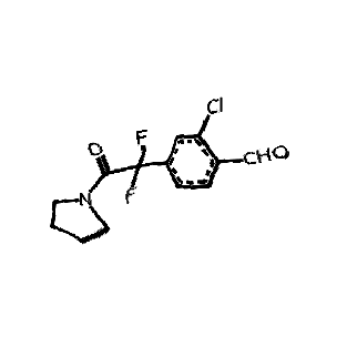 O=Cc1ccc(C(F)(F)C(=O)N2CCCC2)cc1Cl